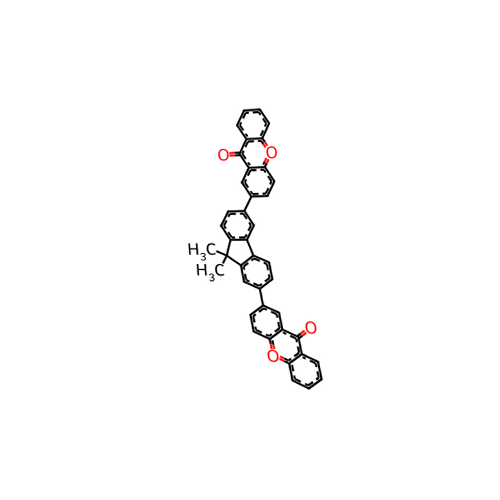 CC1(C)c2ccc(-c3ccc4oc5ccccc5c(=O)c4c3)cc2-c2ccc(-c3ccc4oc5ccccc5c(=O)c4c3)cc21